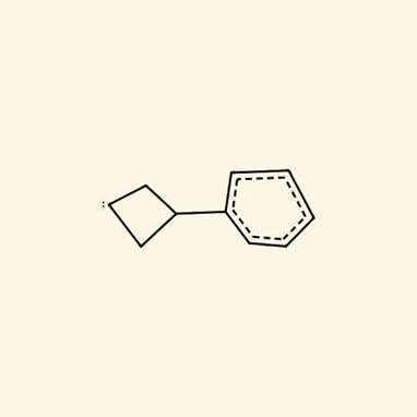 [C]1CC(c2ccccc2)C1